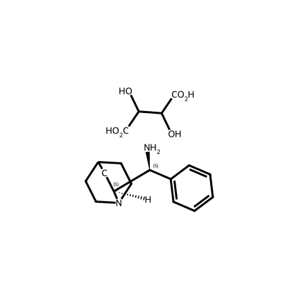 N[C@@H](c1ccccc1)[C@@H]1CC2CCN1CC2.O=C(O)C(O)C(O)C(=O)O